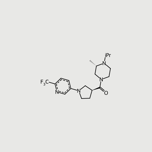 CC(C)N1CCN(C(=O)[C@H]2CCN(c3ccc(C(F)(F)F)nc3)C2)C[C@@H]1C